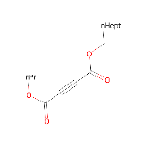 CCCCCCCCOC(=O)C#CC(=O)OCCC